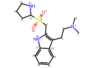 CN(C)CCc1c(CS(=O)(=O)C2CCCN2)[nH]c2ccccc12